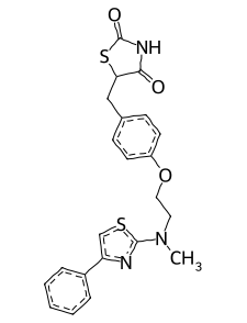 CN(CCOc1ccc(CC2SC(=O)NC2=O)cc1)c1nc(-c2ccccc2)cs1